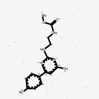 CC(C)(C)OC(=O)NCCNc1nc(O)cc(-c2ccc(C#N)cc2)n1